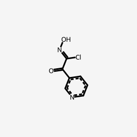 O=C(C(Cl)=NO)c1cccnc1